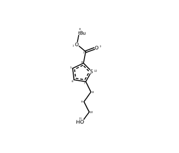 CC(C)(C)OC(=O)c1ccc(CCCO)s1